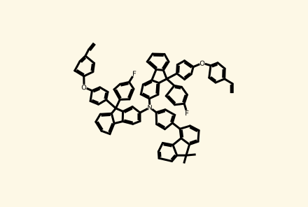 C=Cc1ccc(Oc2ccc(C3(c4ccc(F)cc4)c4ccccc4-c4ccc(N(c5ccc(-c6cccc7c6-c6ccccc6C7(C)C)cc5)c5ccc6c(c5)C(c5ccc(F)cc5)(c5ccc(Oc7ccc(C=C)cc7)cc5)c5ccccc5-6)cc43)cc2)cc1